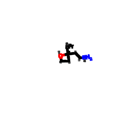 CCCC1(CCN)CCO1